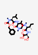 CC[C@H](C)[C@@H](C(=O)N[C@@H](CO)C(=O)O)N(C)C(=O)CN(C)C(=O)[C@@H](NC(=O)[C@H](CC(C)C)N(C)C(=O)OCc1ccccc1)C(C)C